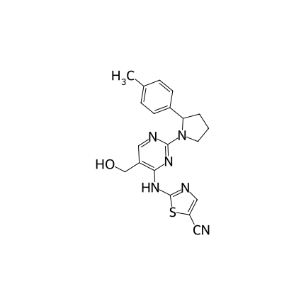 Cc1ccc(C2CCCN2c2ncc(CO)c(Nc3ncc(C#N)s3)n2)cc1